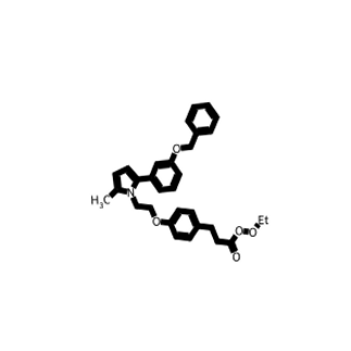 CCOOC(=O)CCc1ccc(OCCn2c(C)ccc2-c2cccc(OCc3ccccc3)c2)cc1